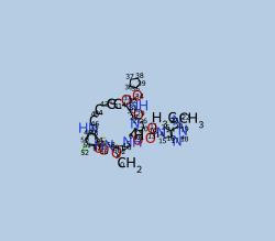 C=C[C@@H]1C[C@@]12NC(=O)[C@@H]1C[C@@H](OC(=O)N3Cc4ncnc(N(C)C)c4C3)CN1C(=O)[C@@H](NC(=O)OC1CCCC1)CCCCCCCNc1ccc(F)cc1S(=O)(=O)NC2=O